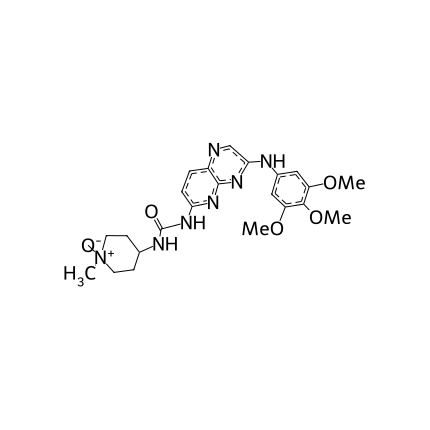 COc1cc(Nc2cnc3ccc(NC(=O)NC4CC[N+](C)([O-])CC4)nc3n2)cc(OC)c1OC